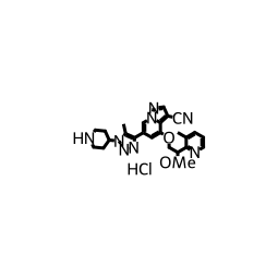 COC(COc1cc(-c2nnn(C3CCNCC3)c2C)cn2ncc(C#N)c12)c1ncccc1C.Cl